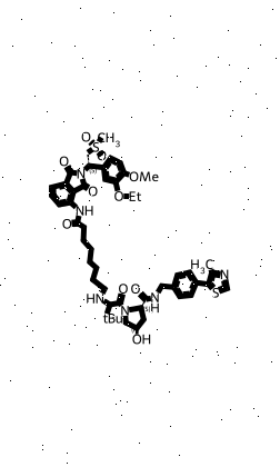 CCOc1cc([C@@H](CS(C)(=O)=O)N2C(=O)c3cccc(NC(=O)CCCCCCCNC(C(=O)N4C[C@H](O)C[C@H]4C(=O)NCc4ccc(-c5scnc5C)cc4)C(C)(C)C)c3C2=O)ccc1OC